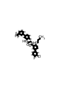 CCCCOc1ccc(-c2ccc(F)c(Cl)c2)cc1C(=O)N[C@@H](Cc1ccc(-c2cccc(C(F)(F)F)c2)cc1)C(=O)O